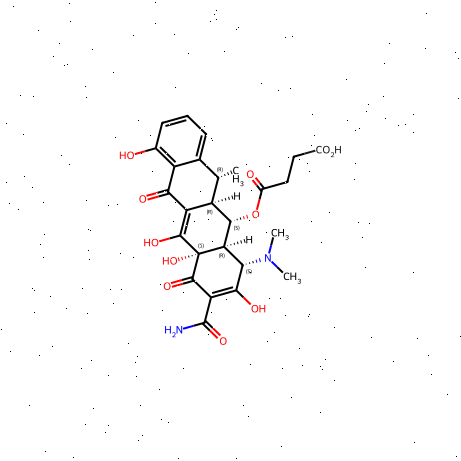 C[C@H]1c2cccc(O)c2C(=O)C2=C(O)[C@]3(O)C(=O)C(C(N)=O)=C(O)[C@@H](N(C)C)[C@@H]3[C@@H](OC(=O)CCC(=O)O)[C@@H]21